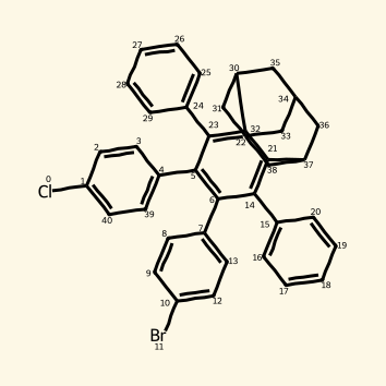 Clc1ccc(-c2c(-c3ccc(Br)cc3)c(-c3ccccc3)c3c(c2-c2ccccc2)C2CC4CC(C2)CC3C4)cc1